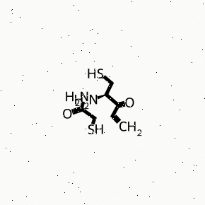 C=CC(=O)[C@@H](N)CS.NC(=O)CS